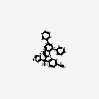 Cn1cncc1C(N)(c1ccc(C#N)cc1)c1cc2cc(-c3cccnc3)cc(-c3cccnc3)c2o1